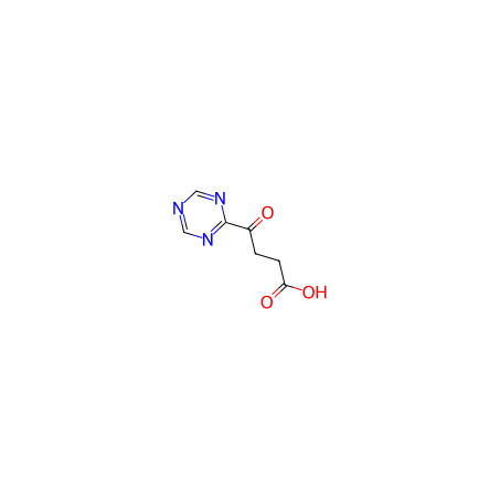 O=C(O)CCC(=O)c1ncncn1